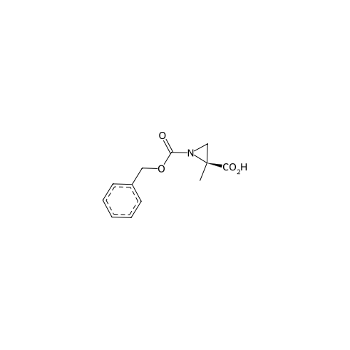 C[C@@]1(C(=O)O)CN1C(=O)OCc1ccccc1